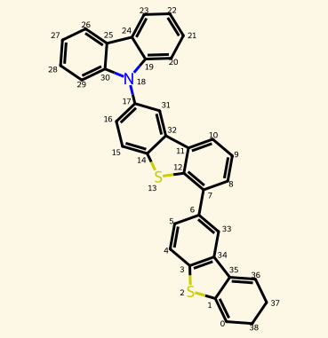 C1=c2sc3ccc(-c4cccc5c4sc4ccc(-n6c7ccccc7c7ccccc76)cc45)cc3c2=CCC1